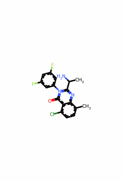 Cc1ccc(Cl)c2c(=O)n(-c3cc(F)cc(F)c3)c(C(C)N)nc12